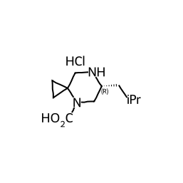 CC(C)C[C@@H]1CN(C(=O)O)C2(CC2)CN1.Cl